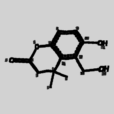 CC1(C)CC(=O)Oc2ccc(O)c(CO)c21